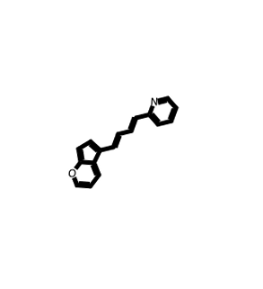 C(C=Cc1ccc2occcc1-2)=Cc1ccccn1